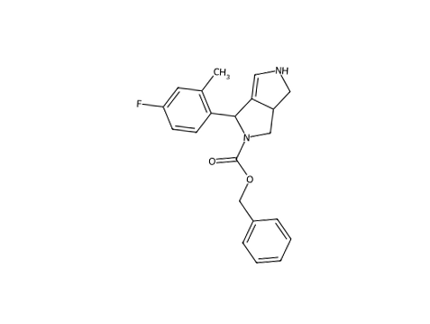 Cc1cc(F)ccc1C1C2=CNCC2CN1C(=O)OCc1ccccc1